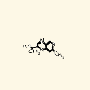 Cc1cc2nc(C(C)C)cnc2cn1